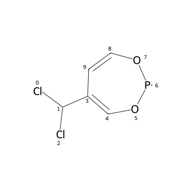 ClC(Cl)C1=CO[P]OC=C1